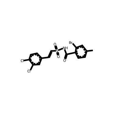 Cc1ccc(C(=O)NS(=O)(=O)C=Cc2ccc(Cl)c(Cl)c2)c(Br)c1